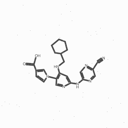 N#Cc1cnc(Nc2cc(NCC3CCCCC3)c(-n3ccc(C(=O)O)c3)cn2)cn1